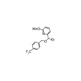 CCC(OCc1ccc(C(F)(F)F)cc1)c1cccc(OC)n1